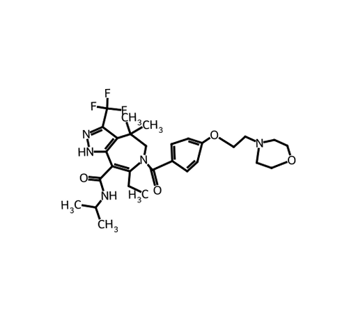 CCC1=C(C(=O)NC(C)C)c2[nH]nc(C(F)(F)F)c2C(C)(C)CN1C(=O)c1ccc(OCCN2CCOCC2)cc1